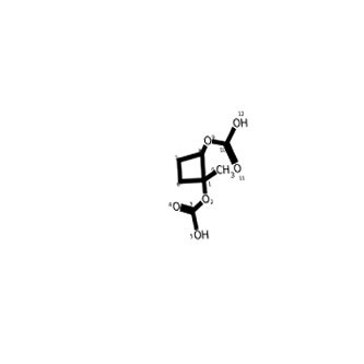 CC1(OC(=O)O)CCC1OC(=O)O